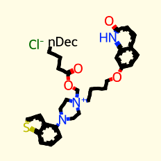 CCCCCCCCCCCCCC(=O)OC[N+]1(CCCCOc2ccc3ccc(=O)[nH]c3c2)CCN(c2cccc3sccc23)CC1.[Cl-]